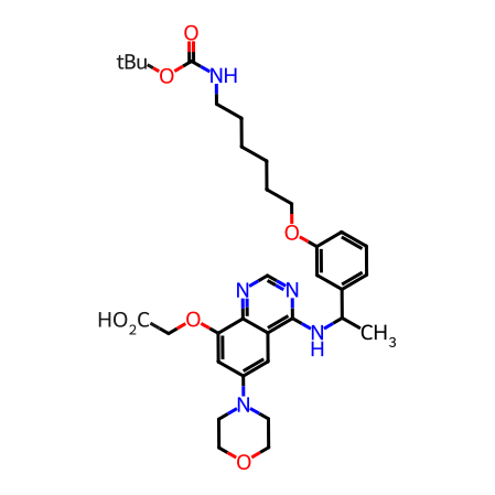 CC(Nc1ncnc2c(OCC(=O)O)cc(N3CCOCC3)cc12)c1cccc(OCCCCCCNC(=O)OC(C)(C)C)c1